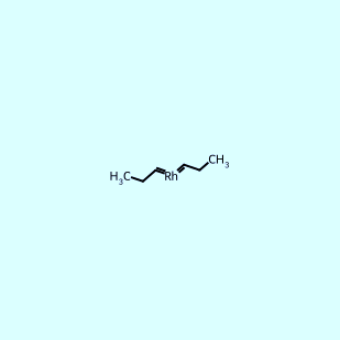 CC[CH]=[Rh]=[CH]CC